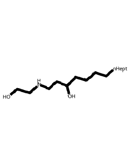 CCCCCCCCCCCC(O)CCNCCO